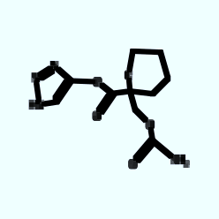 NC(=O)OCC1(C(=O)Oc2c[nH]nn2)CCCCC1